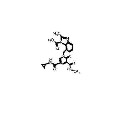 CNC(=O)c1cc(C(=O)NC2CC2)cn(Cc2cccc3nc(C)n(C(=O)O)c23)c1=O